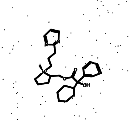 C[N@+]1(CCCc2ncccn2)CCCC1COC(=O)C(O)(c1ccccc1)C1CCCCC1